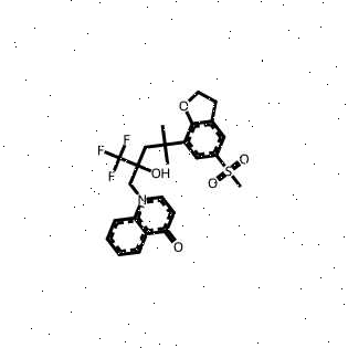 CC(C)(CC(O)(Cn1ccc(=O)c2ccccc21)C(F)(F)F)c1cc(S(C)(=O)=O)cc2c1OCC2